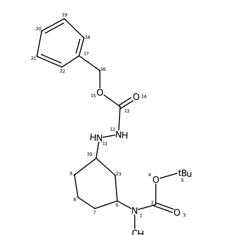 CN(C(=O)OC(C)(C)C)C1CCCC(NNC(=O)OCc2ccccc2)C1